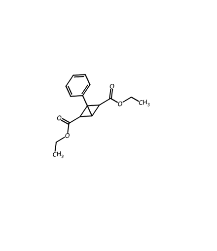 CCOC(=O)C1C2C(C(=O)OCC)C12c1ccccc1